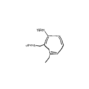 CCCCCCc1[c]ccc(C)c1CCCCC